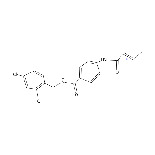 C/C=C/C(=O)Nc1ccc(C(=O)NCc2ccc(Cl)cc2Cl)cc1